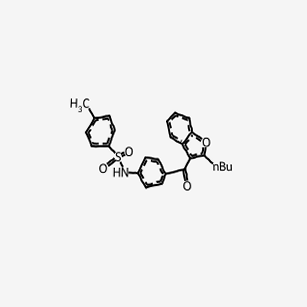 CCCCc1oc2ccccc2c1C(=O)c1ccc(NS(=O)(=O)c2ccc(C)cc2)cc1